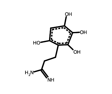 N=C(N)CCc1c(O)cc(O)c(O)c1O